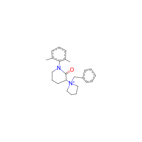 Cc1cccc(C)c1N1CCCC([N+]2(Cc3ccccc3)CCCC2)C1=O